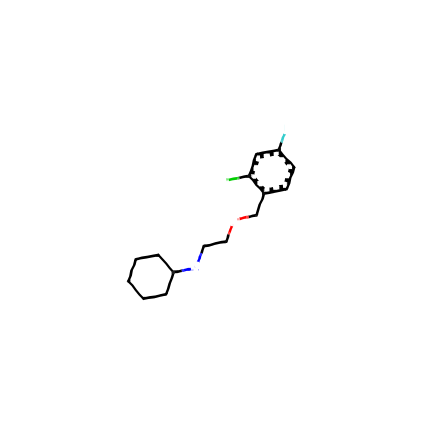 Fc1ccc(COCCNC2CCCCC2)c(Cl)c1